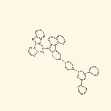 c1ccc(-c2cc(-c3ccccc3)cc(-c3ccc(-c4ccc5c(c4)c4c6ccccc6ccc4n5-c4nc5ccccc5c5nc6ccccc6n45)cc3)c2)cc1